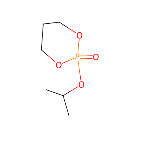 CC(C)OP1(=O)OCCCO1